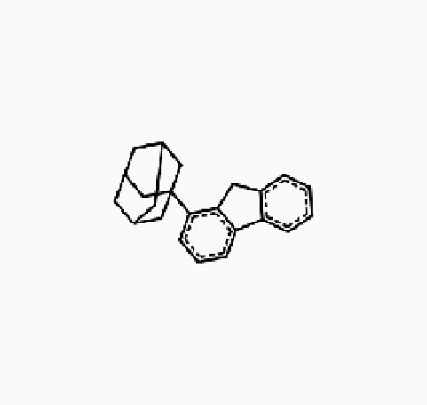 c1ccc2c(c1)Cc1c-2cccc1C12CC3CC(CC(C3)C1)C2